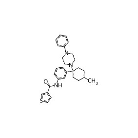 CC1CCC(c2cccc(NC(=O)c3ccsc3)c2)(N2CCN(c3ccccc3)CC2)CC1